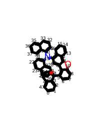 c1ccc2c(-c3cccc4oc5c6ccccc6c(N(c6cccc7ccccc67)c6cccc7ccccc67)cc5c34)cccc2c1